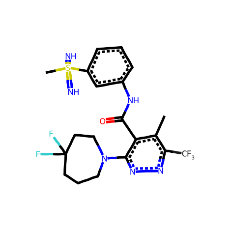 Cc1c(C(F)(F)F)nnc(N2CCCC(F)(F)CC2)c1C(=O)Nc1cccc(S(C)(=N)=N)c1